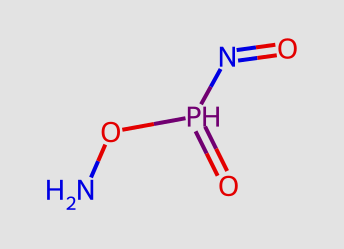 NO[PH](=O)N=O